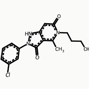 Cc1c2c(=O)n(-c3cccc(Cl)c3)[nH]c2cc(=O)n1CCCO